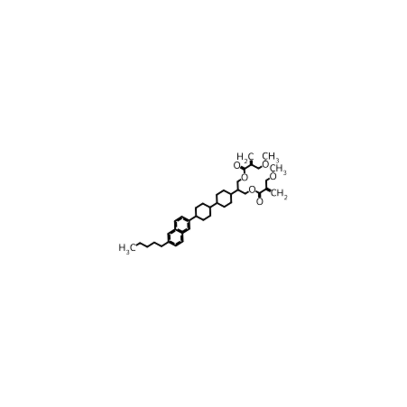 C=C(COC)C(=O)OCC(COC(=O)C(=C)COC)C1CCC(C2CCC(c3ccc4cc(CCCCC)ccc4c3)CC2)CC1